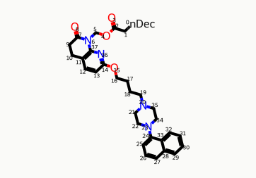 CCCCCCCCCCCC(=O)OCN1C(=O)CCc2ccc(OCCCCN3CCN(c4cccc5ccccc45)CC3)nc21